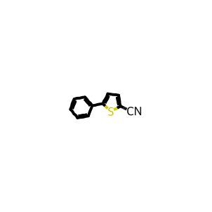 N#Cc1ccc(-c2ccccc2)s1